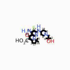 CC(C)(O)CN1CCC(Nc2nc3c(c(N)c2F)c(=O)c(C(=O)O)c2n3C(C)(C)CC2)CC1